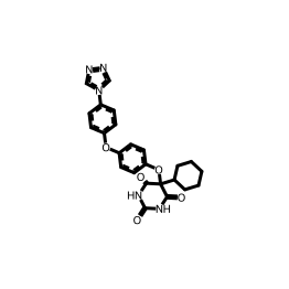 O=C1NC(=O)C(Oc2ccc(Oc3ccc(-n4cnnc4)cc3)cc2)(C2CCCCC2)C(=O)N1